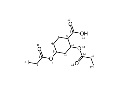 O=C(CI)OC1CCC(C(=O)O)C(OC(=O)CI)C1